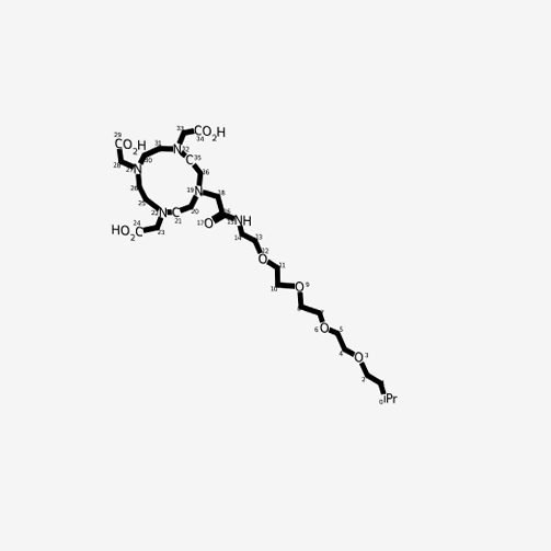 CC(C)CCOCCOCCOCCOCCNC(=O)CN1CCN(CC(=O)O)CCN(CC(=O)O)CCN(CC(=O)O)CC1